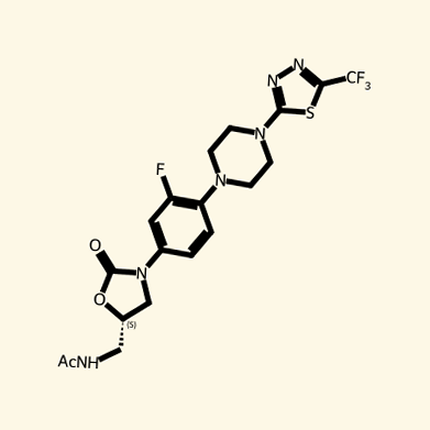 CC(=O)NC[C@H]1CN(c2ccc(N3CCN(c4nnc(C(F)(F)F)s4)CC3)c(F)c2)C(=O)O1